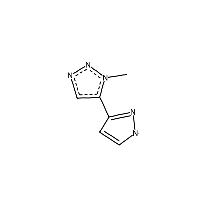 Cn1nncc1C1=N[N]C=C1